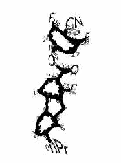 CCCc1ccc2c(c1)Cc1c-2ccc(C(=O)Oc2cc(F)c(C#N)c(F)c2)c1F